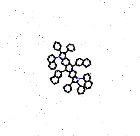 c1ccc(-c2c(-c3ccccc3)n(-c3cccc4ccccc34)c3cc4c(-c5ccc6ccccc6c5)c5cc6c(-c7ccccc7)c(-c7ccccc7)n(-c7cccc8ccccc78)c6cc5c(-c5ccc6ccccc6c5)c4cc23)cc1